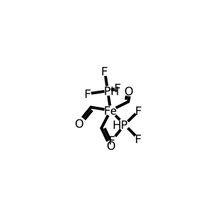 O=[CH][Fe]([CH]=O)([CH]=O)([PH](F)(F)F)[PH](F)(F)F